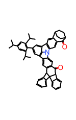 CC(C)c1cc(C(C)C)c(-c2cc3c4cc5c(cc4n4c6cc7c(cc6c(c2)c34)C2c3ccccc3C23c2ccccc2C3C7=O)C(=O)C2CCC5CC2)c(C(C)C)c1